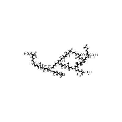 CCC(=O)NCNC(=O)CCN(CCC(=O)NCNC(=O)CCN(C)CCCCC(C(=O)O)N(C)C)C(CCCCN(CCC(=O)NCNC(=O)CCN(C)CCCCC(C(=O)O)N(C)C)CCC(=O)NCNC(=O)CCN(CCCCC(N)C(=O)O)CCC(=O)NCNC(=O)CCNC(CCCCN(C)C)C(=O)O)C(=O)O